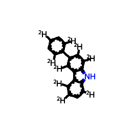 [2H]c1cc([2H])c(-c2c([2H])c([2H])c3[nH]c4c([2H])cc([2H])c([2H])c4c3c2[2H])c([2H])c1